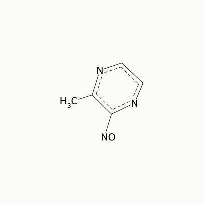 Cc1nccnc1N=O